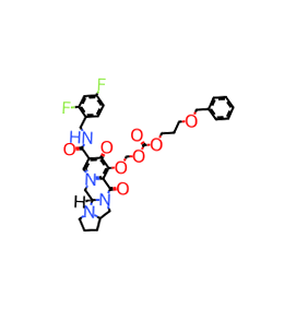 O=C(OCCCOCc1ccccc1)OCOc1c2n(cc(C(=O)NCc3ccc(F)cc3F)c1=O)C[C@@H]1N(CC3CCCN31)C2=O